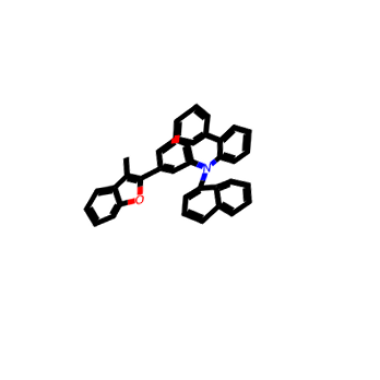 Cc1c(-c2cccc(N(c3ccccc3-c3ccccc3)c3cccc4ccccc34)c2)oc2ccccc12